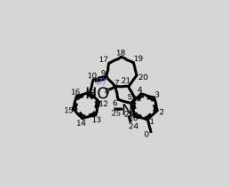 Cc1cccc(CC2(O)/C(=C\c3ccccc3)CCCCC2CN(C)C)c1